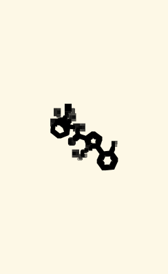 C[C@H]1[C@H](NC(=O)c2ccc(-c3ccccc3F)n2C)C2CCN1CC2